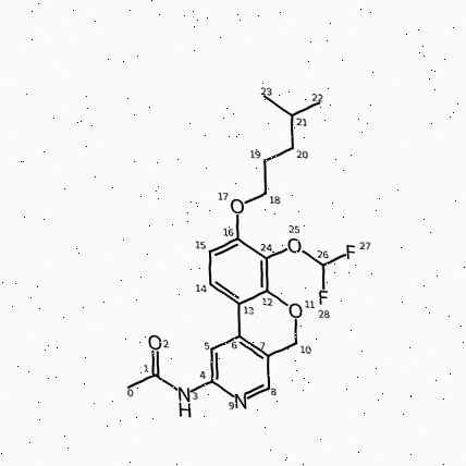 CC(=O)Nc1cc2c(cn1)COc1c-2ccc(OCCCC(C)C)c1OC(F)F